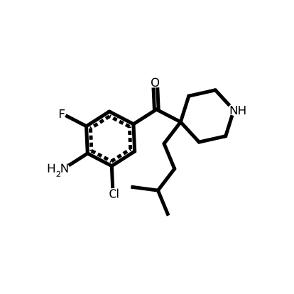 CC(C)CCC1(C(=O)c2cc(F)c(N)c(Cl)c2)CCNCC1